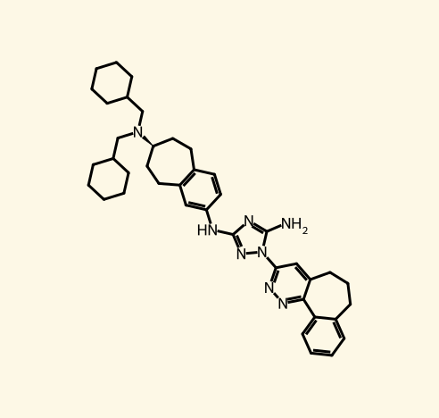 Nc1nc(Nc2ccc3c(c2)CC[C@@H](N(CC2CCCCC2)CC2CCCCC2)CC3)nn1-c1cc2c(nn1)-c1ccccc1CCC2